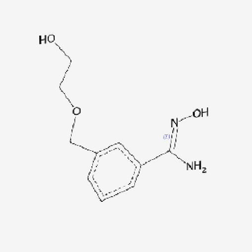 N/C(=N\O)c1cccc(COCCO)c1